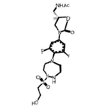 CC(=O)NC[C@H]1CN(c2cc(F)c(N3CCNN(S(=O)(=O)CCO)CC3)c(F)c2)C(=O)O1